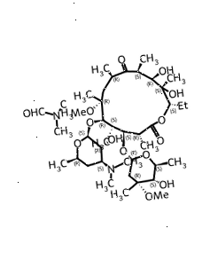 CC[C@@H]1OC(=O)[C@H](C)[C@@H](O[C@H]2C[C@@](C)(OC)[C@@H](O)[C@H](C)O2)[C@H](C)[C@@H](O[C@@H]2O[C@H](C)C[C@H](N(C)C)[C@H]2O)[C@](C)(OC)C[C@@H](C)C(=O)[C@@H](C)[C@@H](O)[C@]1(C)O.CN(C)C=O